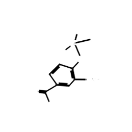 COc1cc(C(=O)Cl)ccc1O[Si](C)(C)C(C)(C)C